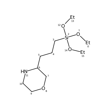 CCO[Si](CCCC1COCCN1)(OCC)OCC